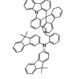 CC1(C)c2ccccc2-c2cc(N(c3ccc4c(c3)-c3ccccc3C4(C)C)c3ccccc3C=Cc3cccc4c3C3(C5=C(C=CCC5)c5ccccc53)c3cccc5c6ccccc6n-4c35)ccc21